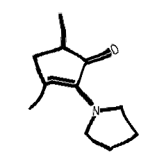 CC1=C(N2CCCC2)C(=O)C(C)C1